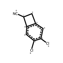 N#CC1Cc2cc(Cl)c(Cl)cc21